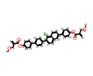 C=C(COC)C(=O)Oc1ccc(-c2ccc(-c3ccc4cc(-c5ccc(OC(=O)C(=C)COC)cc5)ccc4c3F)cc2)cc1